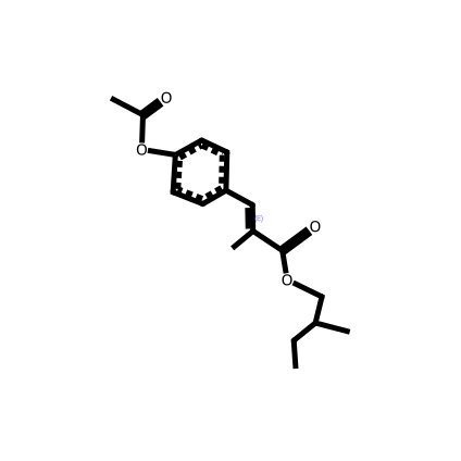 CCC(C)COC(=O)/C(C)=C/c1ccc(OC(C)=O)cc1